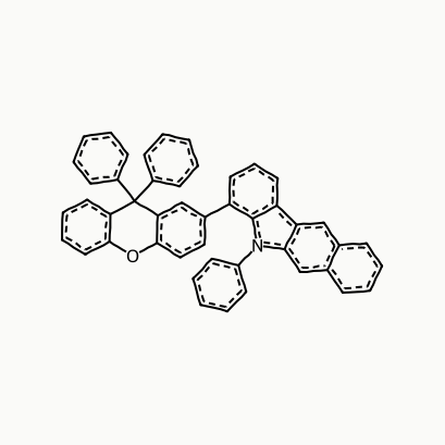 c1ccc(-n2c3cc4ccccc4cc3c3cccc(-c4ccc5c(c4)C(c4ccccc4)(c4ccccc4)c4ccccc4O5)c32)cc1